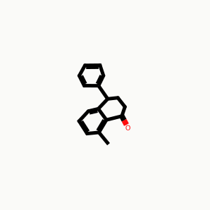 Cc1cccc2c1C(=O)CCC2c1ccccc1